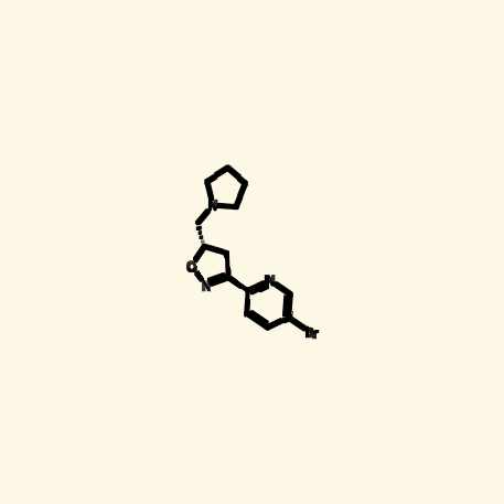 Brc1ccc(C2=NO[C@H](CN3CCCC3)C2)nc1